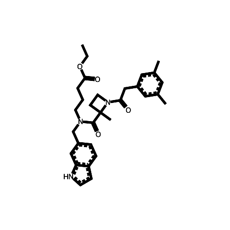 CCOC(=O)CCCN(Cc1ccc2cc[nH]c2c1)C(=O)C1(C)CCN1C(=O)Cc1cc(C)cc(C)c1